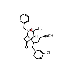 C#CCCC(Cc1cccc(Cl)c1)[N+]1(NC(C)=O)C(=O)CC1[S+]([O-])Cc1ccccc1